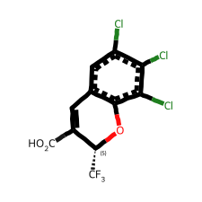 O=C(O)C1=Cc2cc(Cl)c(Cl)c(Cl)c2O[C@@H]1C(F)(F)F